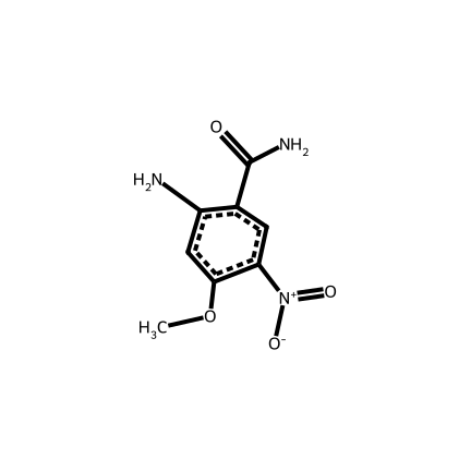 COc1cc(N)c(C(N)=O)cc1[N+](=O)[O-]